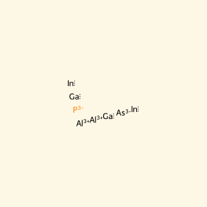 [Al+3].[Al+3].[As-3].[Ga].[Ga].[In].[In].[P-3]